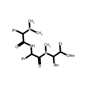 CCC(C)C(C(CC)OC)N(C)C(=O)C(NC(=O)C(C(C)C)N(C)C)C(C)C